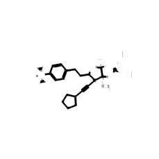 CC1(C)O[C@H]2OC(CCc3ccc(S(=O)(=O)O)cc3)[C@](O)(C#CC3CCCC3)[C@H]2O1